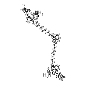 Cc1c(C(=O)C(N)=O)c2c(OCC(=O)OC(C)(C)C)cccc2n1CCCCCCCCCCCCOc1ccccc1OCCCCCCCCCCCCn1c(C)c(C(=O)C(N)=O)c2c(OCC(=O)OC(C)(C)C)cccc21